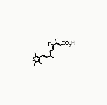 CC(C=Cc1c(C)sc(C)c1C)=CC=C(F)C(C)=CC(=O)O